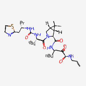 C=CCNC(=O)C(=O)C(CCCC)NC(=O)[C@@H]1[C@@H]2[C@H](CN1C(=O)[C@@H](NC(=O)N[C@H](CC1=NCCS1)C(C)C)C(C)(C)C)C2(C)C